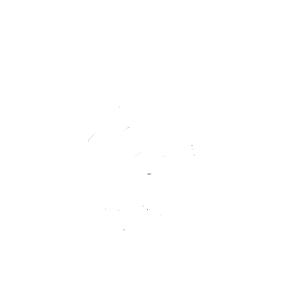 CC(C)CCOC(=O)Oc1ccc(C(C(C)COC(=O)CCC(C)C)[C@H](N)C(=O)O)cc1OC(=O)OCCC(C)C